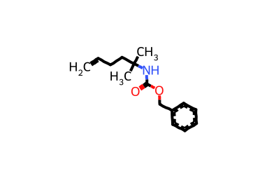 C=CCCC(C)(C)NC(=O)OCc1ccccc1